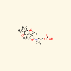 CC1=C(C)C(=O)C(C(C)(C)CC(=O)N(C)CCCOC(=O)O)=C(C)C1=O